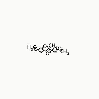 CCC1(Sc2ccc(OC)cc2)COc2cc(OC)ccc2C1=O